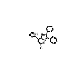 Clc1cc(-c2ncc[nH]2)c2nc(-c3cc[c]cc3)c(-c3ccccc3)n2n1